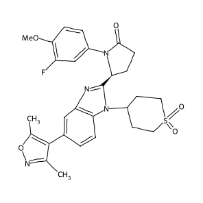 COc1ccc(N2C(=O)CC[C@H]2c2nc3cc(-c4c(C)noc4C)ccc3n2C2CCS(=O)(=O)CC2)cc1F